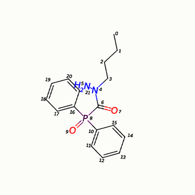 CCCCN(N)C(=O)P(=O)(c1ccccc1)c1ccccc1